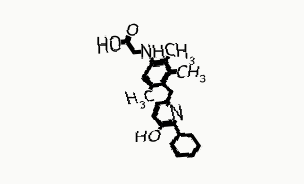 Cc1cc(NCC(=O)O)c(C)c(C)c1Cc1ccc(O)c(C2CCCCC2)n1